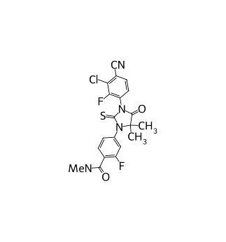 CNC(=O)c1ccc(N2C(=S)N(c3ccc(C#N)c(Cl)c3F)C(=O)C2(C)C)cc1F